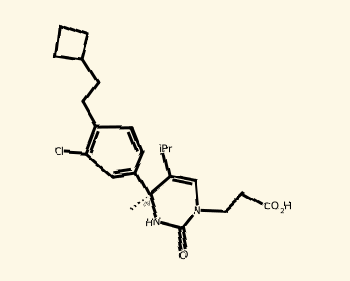 CC(C)C1=CN(CCC(=O)O)C(=O)N[C@@]1(C)c1ccc(CCC2CCC2)c(Cl)c1